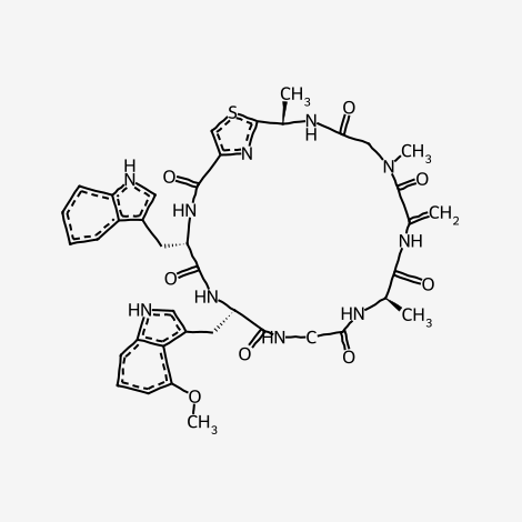 C=C1NC(=O)[C@@H](C)NC(=O)CNC(=O)[C@H](Cc2c[nH]c3cccc(OC)c23)NC(=O)[C@H](Cc2c[nH]c3ccccc23)NC(=O)c2csc(n2)[C@@H](C)NC(=O)CN(C)C1=O